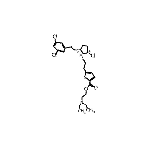 CCN(CC)CCOC(=O)c1ccc(CCC[C@@H]2[C@@H](CCc3cc(Cl)cc(Cl)c3)CC[C@H]2Cl)s1